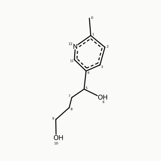 Cc1ccc(C(O)CCCO)cn1